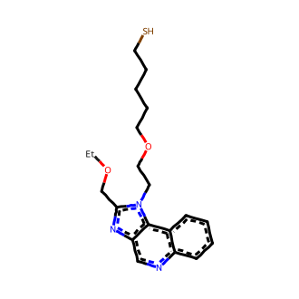 CCOCc1nc2cnc3ccccc3c2n1CCOCCCCCS